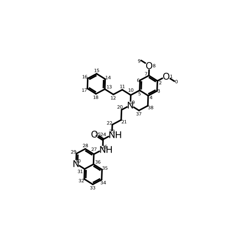 COc1cc2c(cc1OC)C(CCc1ccccc1)N(CCCNC(=O)Nc1ccnc3ccccc13)CC2